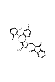 CCCc1nc(CN2C(=O)c3ccccc3C2=O)n(-c2ccc(Cl)cc2C(=O)c2c(F)cccc2F)c1C